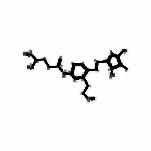 Cc1c(C#N)sc(/N=N/c2ccc(NC(=O)CCC(N)C(=O)O)cc2CCC(=O)O)c1C#N